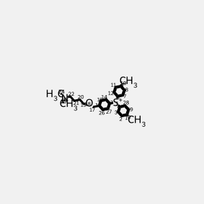 Cc1ccc([S+](c2ccc(C)cc2)c2ccc(COCCCCN(C)C)cc2)cc1